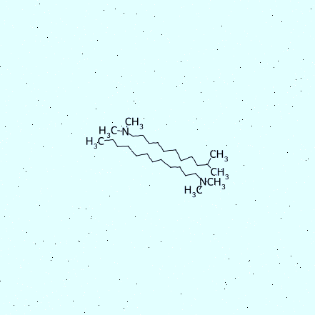 CC(C)CCCCCCCCCN(C)C.CCCCCCCCCCCCN(C)C